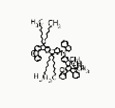 CCCCCCCCC1(CCCCCCCC)c2cc(N(c3ccc4c(c3)C(C)(C)c3c5c(c6c(oc7ccccc76)c3-4)-c3ccccc3C5(C)C)c3cccc4ccccc34)ccc2-c2cc3c(cc21)-c1c(ccc2oc4ccccc4c12)C3(CCCCCCCC)CCCCCCCC